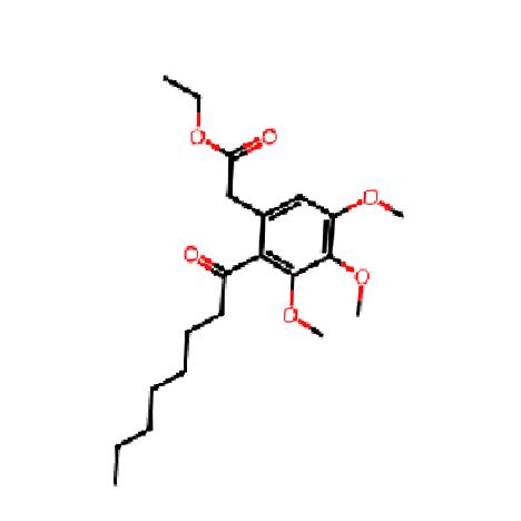 CCCCCCCC(=O)c1c(CC(=O)OCC)cc(OC)c(OC)c1OC